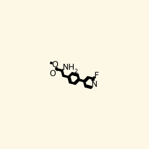 COC(=O)[C@@H](N)Cc1ccc(-c2ccnc(F)c2)cc1